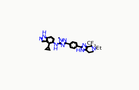 CCN1CCc2[nH]c(-c3ccc(-c4nc(Nc5ccc6[nH]ncc6c5C5CC5)n(C)n4)cc3)nc2C1C(F)(F)F